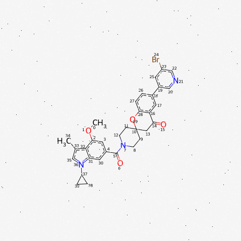 COc1cc(C(=O)N2CCC3(CC2)CC(=O)c2cc(-c4cncc(Br)c4)ccc2O3)cc2c1c(C)cn2C1CC1